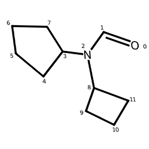 O=CN(C1CCCC1)C1CCC1